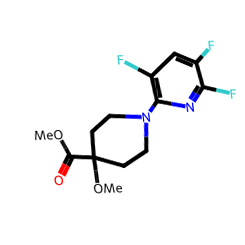 COC(=O)C1(OC)CCN(c2nc(F)c(F)cc2F)CC1